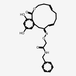 O=C(CON=C1/C=C/CC/C=C/CCOC(=O)c2c(O)cc(O)cc2C1)NCc1ccccc1